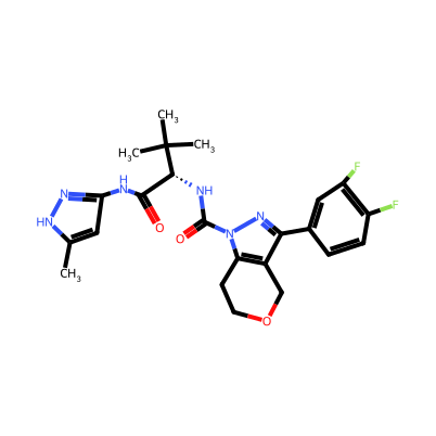 Cc1cc(NC(=O)[C@@H](NC(=O)n2nc(-c3ccc(F)c(F)c3)c3c2CCOC3)C(C)(C)C)n[nH]1